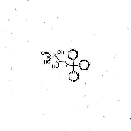 O=C[C@H](O)[C@H](O)[C@H](O)COC(c1ccccc1)(c1ccccc1)c1ccccc1